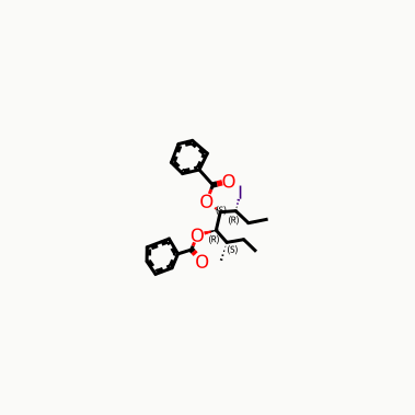 CC[C@@H](I)[C@@H](OC(=O)c1ccccc1)[C@H](OC(=O)c1ccccc1)[C@@H](C)CC